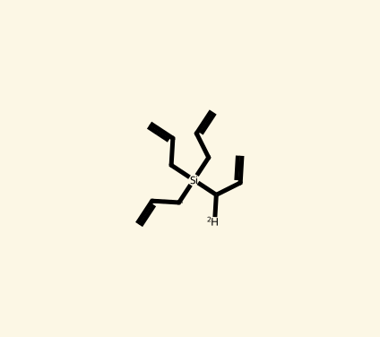 [2H]C(C=C)[Si]([CH]C=C)(CC=C)CC=C